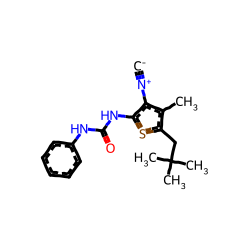 [C-]#[N+]c1c(NC(=O)Nc2ccccc2)sc(CC(C)(C)C)c1C